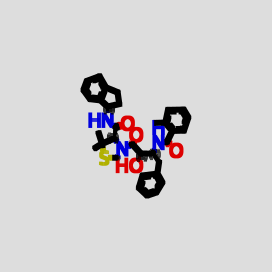 Cc1ccccc1C(=O)N[C@@H](Cc1ccccc1)[C@H](O)C(=O)N1CSC(C)(C)[C@H]1C(=O)N[C@H]1CCc2ccccc21